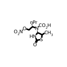 CCC[C@@H](CO[N+](=O)[O-])N(C(=O)O)[C@H]1NC(=O)SC1C